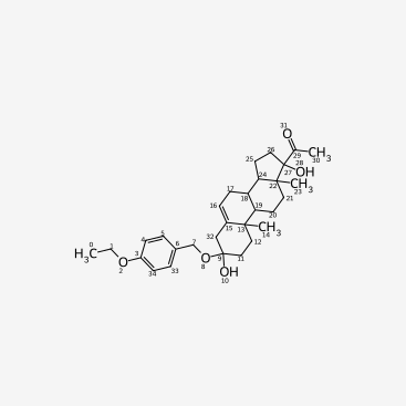 CCOc1ccc(COC2(O)CCC3(C)C(=CCC4C3CCC3(C)C4CCC3(O)C(C)=O)C2)cc1